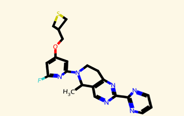 CC1c2cnc(-c3ncccn3)nc2CCN1c1cc(OCC2CSC2)cc(F)n1